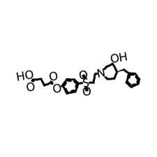 O=C(O)CCC(=O)Oc1ccc(S(=O)(=O)CCN2CC[C@H](Cc3ccccc3)[C@H](O)C2)cc1